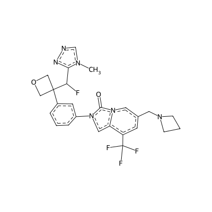 Cn1cnnc1C(F)C1(c2cccc(-n3cc4c(C(F)(F)F)cc(CN5CCC5)cn4c3=O)c2)COC1